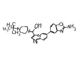 CC(C)(C)N1CCN(C(O)c2cnc3ccc(-c4ccc5oc(N)nc5c4)cn23)CC1